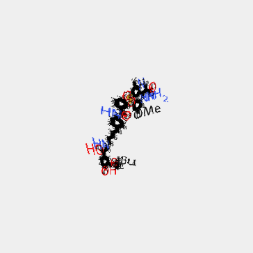 COc1cccc(Nc2c(C(N)=O)cnc3c(C)cc(S(=O)(=O)c4cccc(C(=O)Nc5ccc(CCCCCNC[C@H](O)c6ccc(O)c(CO[Si](C)(C)C(C)(C)C)c6)cc5)c4)cc23)c1